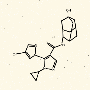 O=C(N[C@H]1C2CC3CC1C[C@](O)(C3)C2)c1cnn(C2CC2)c1-n1cc(Cl)cn1